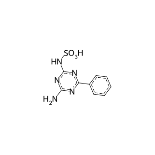 Nc1nc(NS(=O)(=O)O)nc(-c2ccccc2)n1